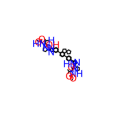 COC(=O)N[C@@H](C(C)C)C(O)N1CCC[C@H]1c1nc2cc(-c3ccc(-c4ccc(-c5cnc([C@@H]6CCCN6C(=O)[C@@H](NC(=O)OC)C(C)C)[nH]5)cc4)c4c3CCC43CCCC3)ccc2[nH]1